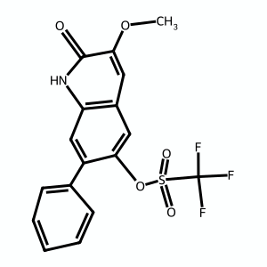 COc1cc2cc(OS(=O)(=O)C(F)(F)F)c(-c3ccccc3)cc2[nH]c1=O